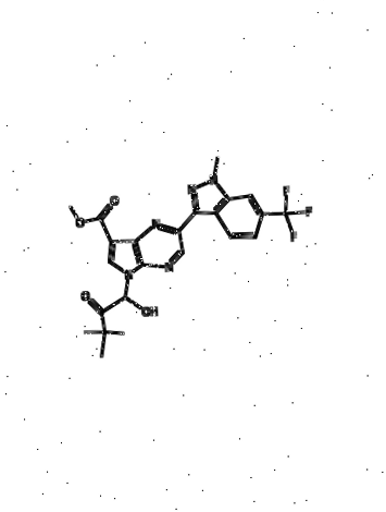 COC(=O)c1cn(C(O)C(=O)C(C)(C)C)c2ncc(-c3nn(C)c4cc(C(F)(F)F)ccc34)nc12